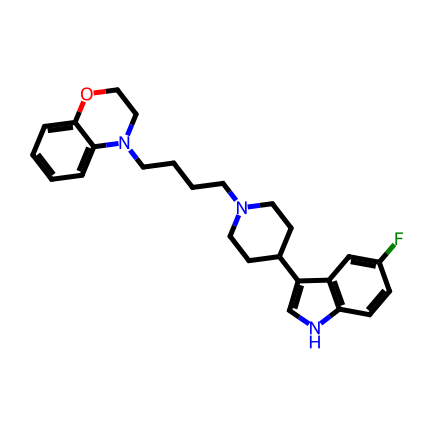 Fc1ccc2[nH]cc(C3CCN(CCCCN4CCOc5ccccc54)CC3)c2c1